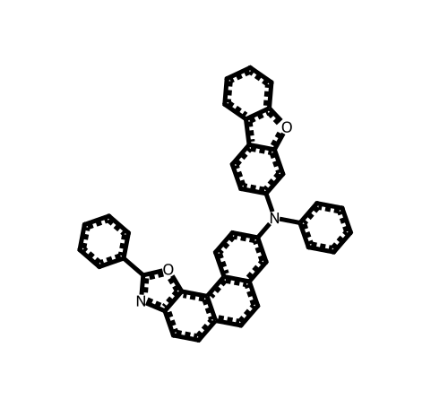 c1ccc(-c2nc3ccc4ccc5cc(N(c6ccccc6)c6ccc7c(c6)oc6ccccc67)ccc5c4c3o2)cc1